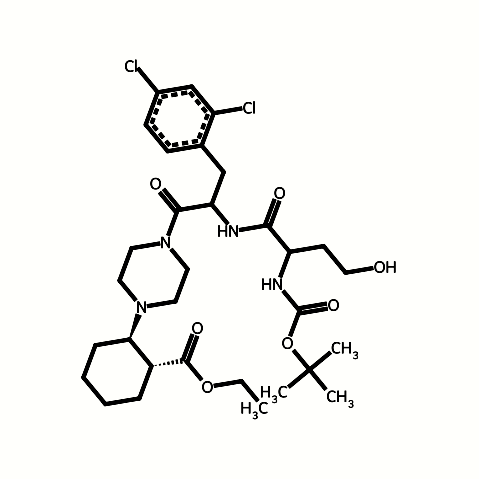 CCOC(=O)[C@@H]1CCCC[C@H]1N1CCN(C(=O)C(Cc2ccc(Cl)cc2Cl)NC(=O)C(CCO)NC(=O)OC(C)(C)C)CC1